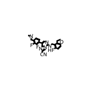 CN(C)Cc1ccc(-c2cnc(NCc3c(F)ccc4c3CCO4)n3cc(C#N)nc23)c(F)c1F